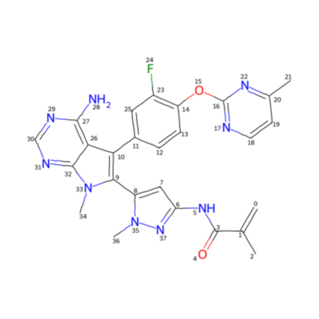 C=C(C)C(=O)Nc1cc(-c2c(-c3ccc(Oc4nccc(C)n4)c(F)c3)c3c(N)ncnc3n2C)n(C)n1